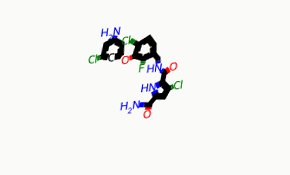 NC(=O)c1cc(Cl)c(C(=O)NCc2ccc(Cl)c(Oc3cc(N)cc(Cl)c3)c2F)[nH]1